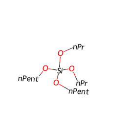 CCCCCO[Si](OCCC)(OCCC)OCCCCC